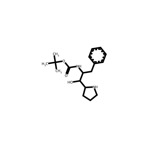 CC(C)(C)OC(=O)NC(Cc1ccccc1)C(O)C1CCCN1